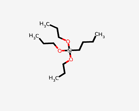 CCCC[Si](OCCC)(OCCC)OCCC